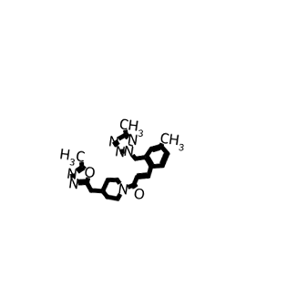 Cc1ccc(/C=C/C(=O)N2CCC(Cc3nnc(C)o3)CC2)c(Cn2nnc(C)n2)c1